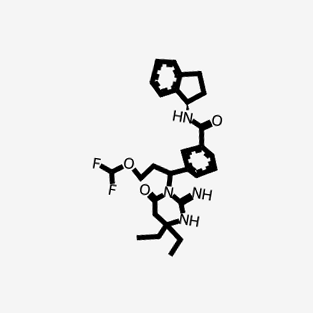 CCC1(CC)CC(=O)N(C(CCOC(F)F)c2cccc(C(=O)N[C@H]3CCc4ccccc43)c2)C(=N)N1